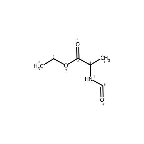 CCOC(=O)C(C)NC=O